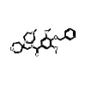 COc1cc(C(=O)NCC2(N3CCN(C)CC3)CCOCC2)cc(OC)c1OCc1ccccc1